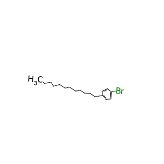 CCCCCCCCCCCCc1ccc(Br)cc1